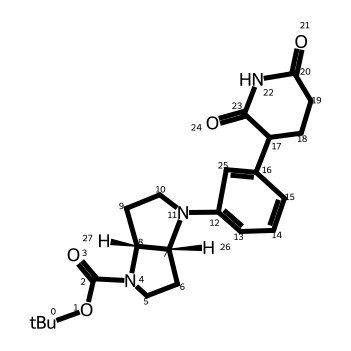 CC(C)(C)OC(=O)N1CC[C@@H]2[C@H]1CCN2c1cccc(C2CCC(=O)NC2=O)c1